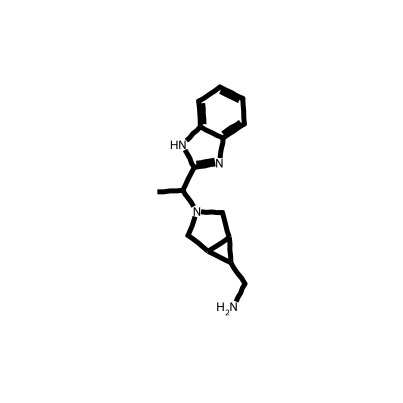 CC(c1nc2ccccc2[nH]1)N1CC2C(CN)C2C1